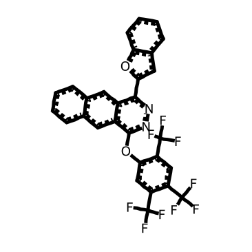 FC(F)(F)c1cc(C(F)(F)F)c(C(F)(F)F)cc1Oc1nnc(-c2cc3ccccc3o2)c2cc3ccccc3cc12